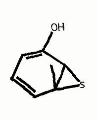 CC12C=CC=C(O)C1S2